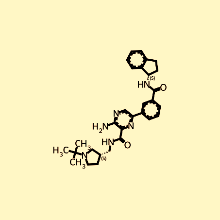 CC(C)(C)N1CC[C@@H](CNC(=O)c2nc(-c3cccc(C(=O)N[C@H]4CCc5ccccc54)c3)cnc2N)C1